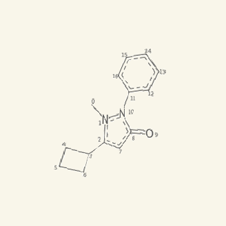 Cn1c(C2CCC2)cc(=O)n1-c1ccccc1